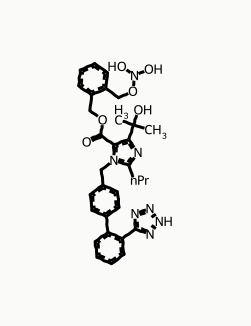 CCCc1nc(C(C)(C)O)c(C(=O)OCc2ccccc2CON(O)O)n1Cc1ccc(-c2ccccc2-c2nn[nH]n2)cc1